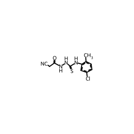 Cc1ccc(Cl)cc1NC(=S)NNC(=O)CC#N